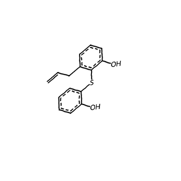 C=CCc1cccc(O)c1Sc1ccccc1O